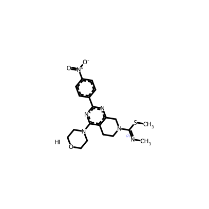 C/N=C(\SC)N1CCc2c(nc(-c3ccc([N+](=O)[O-])cc3)nc2N2CCOCC2)C1.I